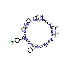 CC[C@H](C)[C@H]1CN(C)CCN(C)CCN(C)[C@@H](CC2CCCCC2)CN(C)CCN[C@@H](CCc2ccc(C(F)(F)F)cc2)CN2CCC[C@H]2CNC2(CCCC2)CN(C)[C@@H](C(C)C)CN[C@H](C)CCN(C)[C@@H](CC(C)C)CN1